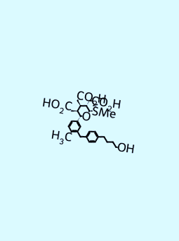 CS[C@H]1O[C@H](c2ccc(C)c(Cc3ccc(CCCCO)cc3)c2)[C@@H](CC(=O)O)[C@@H](CC(=O)O)[C@@H]1CC(=O)O